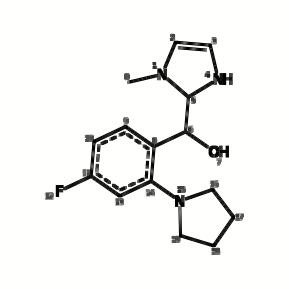 CN1C=CNC1C(O)c1ccc(F)cc1N1CCCC1